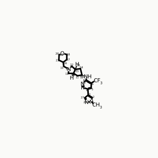 Cn1cc(-c2cc(C(F)(F)F)c(N[C@@H]3C[C@@H]4CN(CC5CCOCC5)C[C@@H]4C3)nn2)cn1